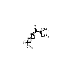 CC(C)C(=O)N1CC2(C1)CC(C)(F)C2